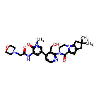 Cn1cc(-c2ccnc(N3CCn4c(cc5c4CC(C)(C)C5)C3=O)c2CO)cc(NC(=O)CN2CCOCC2)c1=O